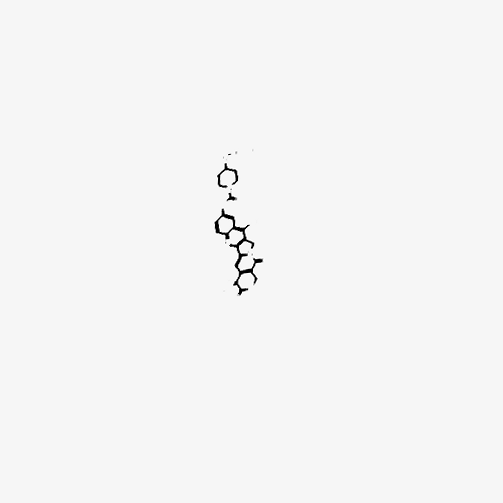 CCCCCCNC1CCN(C(=O)Oc2ccc3nc4c(c(CC)c3c2)Cn2c-4cc3c(c2=O)COC(=O)[C@]3(O)CC)CC1